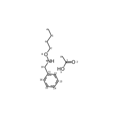 CC(=O)O.CCCCONCc1ccccc1